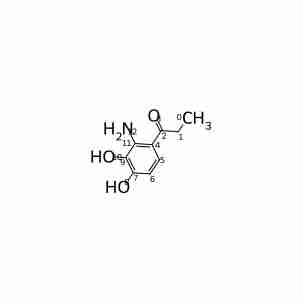 CCC(=O)c1ccc(O)c(O)c1N